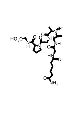 C=C(CNC(=O)CNC(=O)CCCCC(N)=O)N(C(C)C)C(C)C(=O)NCC(=O)N1CCCC1C(=O)NCC(=O)O